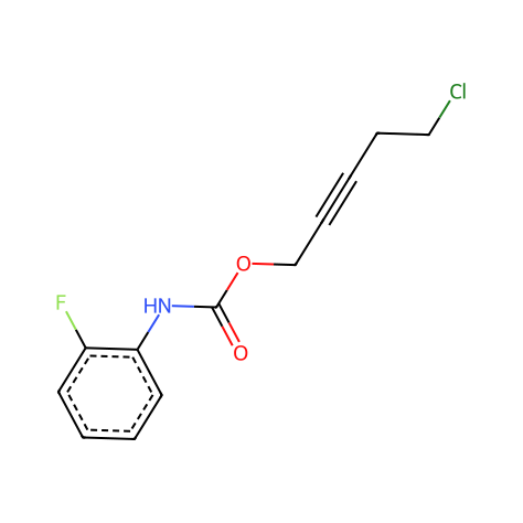 O=C(Nc1ccccc1F)OCC#CCCCl